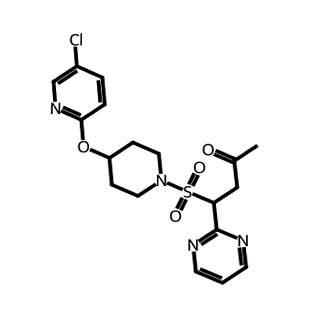 CC(=O)CC(c1ncccn1)S(=O)(=O)N1CCC(Oc2ccc(Cl)cn2)CC1